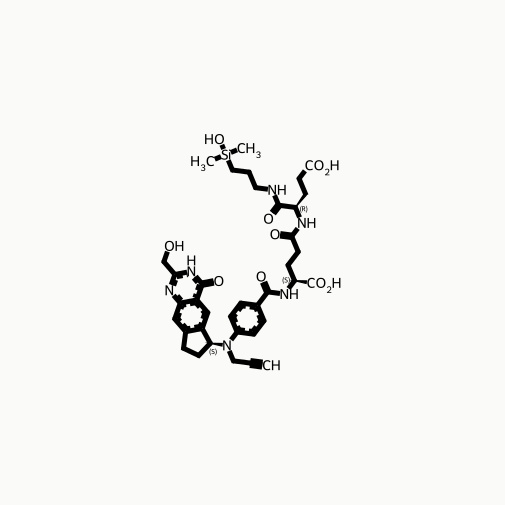 C#CCN(c1ccc(C(=O)N[C@@H](CCC(=O)N[C@H](CCC(=O)O)C(=O)NCCC[Si](C)(C)O)C(=O)O)cc1)[C@H]1CCc2cc3nc(CO)[nH]c(=O)c3cc21